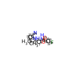 CC1(C)CC(c2cccc(NS(=O)(=O)c3ccc(F)cc3)c2)Nc2c(C#N)cccc21